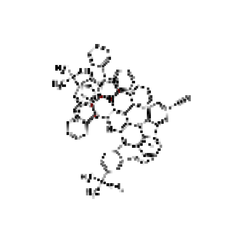 CC(C)(C)c1ccc2c(c1)c1ccccc1n2-c1nc(-n2c3ccccc3c3cc(C(C)(C)C)ccc32)c(-n2c3ccccc3c3cc(C#N)ccc32)c(-c2ccccc2-c2nc(-c3ccccc3)cc(-c3ccccc3)n2)c1-n1c2ccccc2c2ccccc21